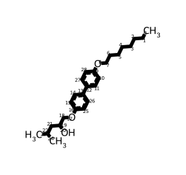 CCCCCCCCOc1ccc(-c2ccc(OCC(O)CC(C)C)cc2)cc1